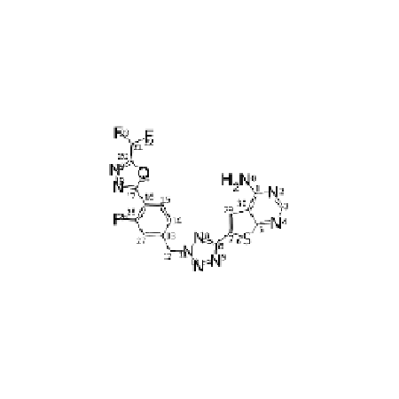 Nc1ncnc2sc(-c3nnn(Cc4ccc(-c5nnc(C(F)F)o5)c(F)c4)n3)cc12